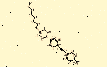 CCCCCCCC[C@H]1CC[C@H](c2ccc(C#Cc3ccc(F)nc3)cc2)CC1